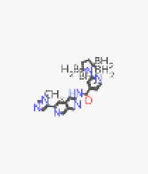 BC1(B)CCC(B)(B)N1c1cc(C(=O)Nc2cc3cc(-c4cncn4C)ncc3cn2)ccn1